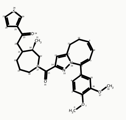 COc1ccc(/C2=C/C=C\CCc3cc(C(=O)N4CCCC(CC(=O)c5ccsc5)[C@@H](C)C4)nn32)cc1OC